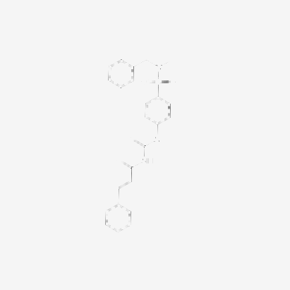 CN(Cc1ccccc1)S(=O)(=O)c1ccc(NC(=S)NC(=O)/C=C/c2ccccc2)cc1